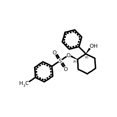 Cc1ccc(S(=O)(=O)O[C@@H]2CCCC[C@@]2(O)c2ccccc2)cc1